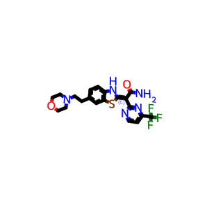 NC(=O)/C(=C1\Nc2ccc(CCN3CCOCC3)cc2S1)c1nccc(C(F)(F)F)n1